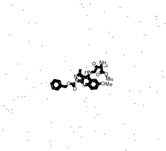 COc1ccc2nc3c(c(C)nn3C(=O)OCc3ccccc3)c(NCC(=O)[C@@](C)(N)C(=O)OC(C)(C)C)c2c1